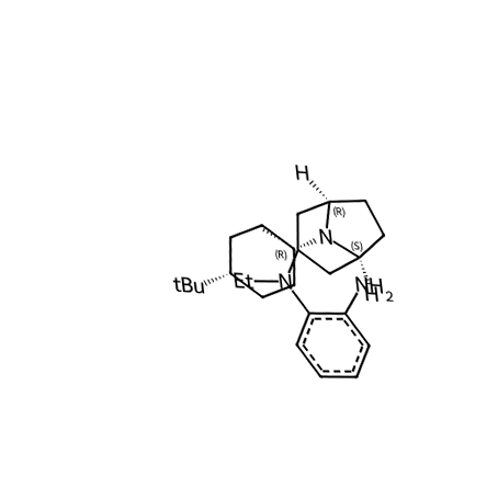 CCN(c1ccccc1N)[C@@]1(C)C[C@H]2CC[C@@H](C1)N2[C@H]1CC[C@@H](C(C)(C)C)CC1